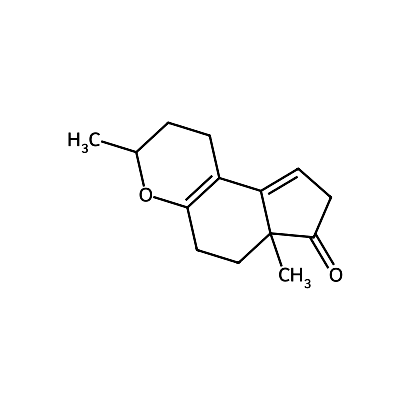 CC1CCC2=C(CCC3(C)C(=O)CC=C23)O1